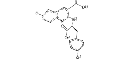 O=C(O)c1cc2cc(Cl)ccc2nc1N[C@@H](Cc1ccc(O)cc1)C(=O)O